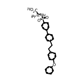 CC(C)[C@@H](NS(=O)(=O)c1ccc(-c2ccc(CCc3ccc(Oc4ccccc4)cc3)cc2)cc1)C(=O)O